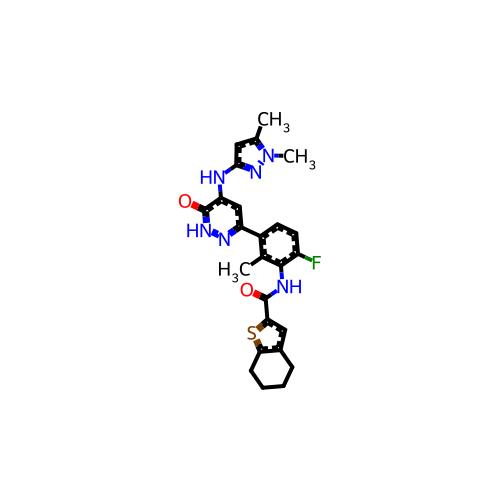 Cc1c(-c2cc(Nc3cc(C)n(C)n3)c(=O)[nH]n2)ccc(F)c1NC(=O)c1cc2c(s1)CCCC2